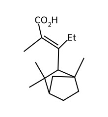 CCC(=C(C)C(=O)O)C1C2(C)CCC(C2)C1(C)C